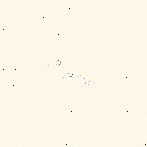 COc1cccc(CCC(=O)Nc2sc3c(c2C#N)CCN(C(=O)NCc2ccnc(OC)c2)C3)c1